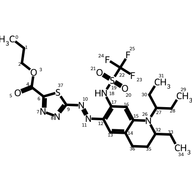 CCCOC(=O)c1nnc(N=Nc2cc3c(cc2NS(=O)(=O)C(F)(F)F)N(C(CC)CC)C(CC)CC3)s1